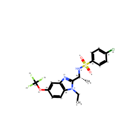 CCn1c([C@@H](C)NS(=O)(=O)c2ccc(Cl)cc2)nc2cc(OC(F)(F)F)ccc21